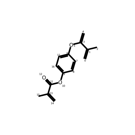 C=C(C)C(=C)Oc1ccc(OC(=O)C(=C)C)cc1